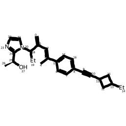 C=C(/C=C(\C)c1ccc(C#CC2CC(CC)C2)cc1)C(CC)n1ccnc1[C@H](C)O